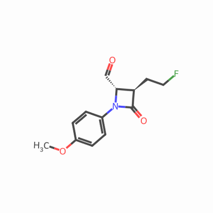 COc1ccc(N2C(=O)[C@H](CCF)[C@H]2C=O)cc1